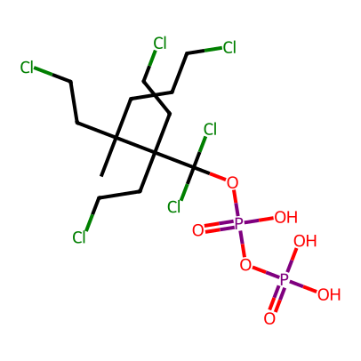 CC(CCCl)(CCCCl)C(CCCl)(CCCl)C(Cl)(Cl)OP(=O)(O)OP(=O)(O)O